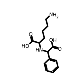 NCCCCC(NC(C(=O)O)c1ccccc1)C(=O)O